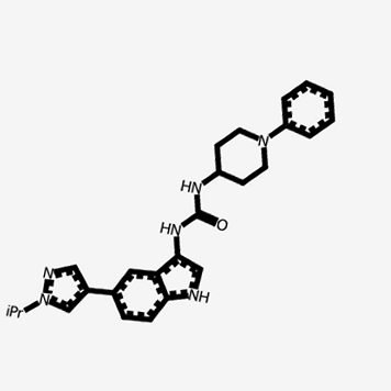 CC(C)n1cc(-c2ccc3[nH]cc(NC(=O)NC4CCN(c5ccccc5)CC4)c3c2)cn1